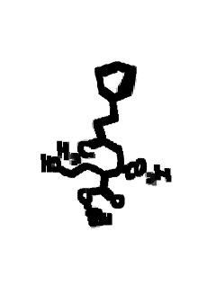 CC(CCc1ccccc1)CC(C(=O)O)[C@H](CCO)C(=O)OC(C)(C)C